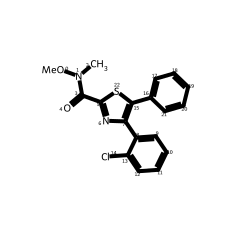 CON(C)C(=O)c1nc(-c2ccccc2Cl)c(-c2ccccc2)s1